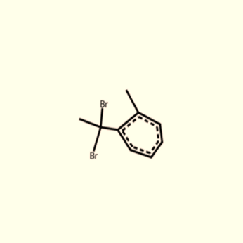 Cc1ccccc1C(C)(Br)Br